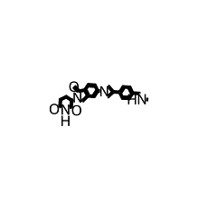 CNCc1ccc(C2CN(c3ccc4c(c3)CN(C3CCC(=O)NC3=O)C4=O)C2)cc1